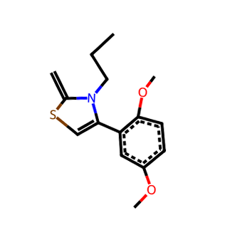 C=C1SC=C(c2cc(OC)ccc2OC)N1CCC